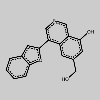 OCc1cc(O)c2cncc(-c3cc4ccccc4o3)c2c1